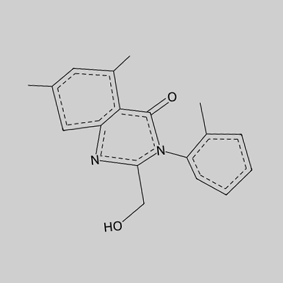 Cc1cc(C)c2c(=O)n(-c3ccccc3C)c(CO)nc2c1